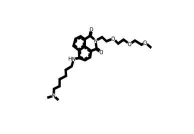 COCCOCCOCCN1C(=O)c2cccc3c(NCCCCCCN(C)C)ccc(c23)C1=O